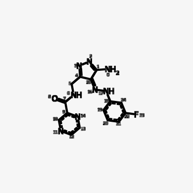 NC1=NN=C(CNC(=O)c2cnccn2)C1=NNc1cccc(F)c1